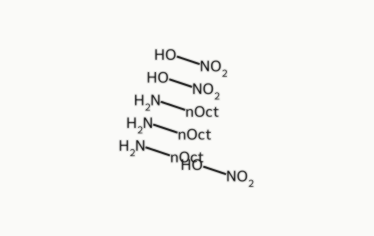 CCCCCCCCN.CCCCCCCCN.CCCCCCCCN.O=[N+]([O-])O.O=[N+]([O-])O.O=[N+]([O-])O